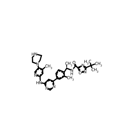 Cc1cc(-c2cc(Nc3cc(C)c(N4CCNCC4)cn3)ncn2)ccc1[C@@H](C)NC(=O)c1nc(C(C)(C)C)no1